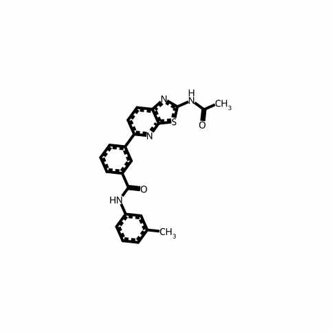 CC(=O)Nc1nc2ccc(-c3cccc(C(=O)Nc4cccc(C)c4)c3)nc2s1